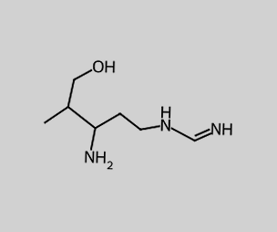 CC(CO)C(N)CCNC=N